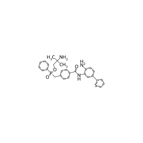 CC(C)(N)COP(=O)(Cc1ccc(C(=O)Nc2cc(-c3cccs3)ccc2N)cc1)c1ccccc1